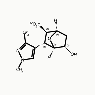 Cn1cc([C@H]2[C@H]3O[C@H](C[C@@H]3O)[C@@H]2C(=O)O)c(C(F)(F)F)n1